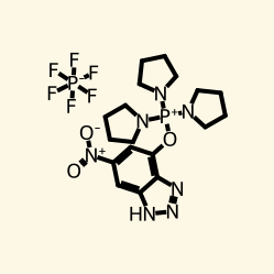 F[P-](F)(F)(F)(F)F.O=[N+]([O-])c1cc(O[P+](N2CCCC2)(N2CCCC2)N2CCCC2)c2nn[nH]c2c1